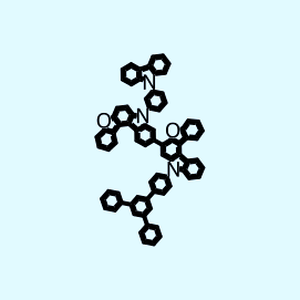 c1ccc(-c2cc(-c3ccccc3)cc(-c3ccc(-n4c5ccccc5c5c6c(oc7ccccc76)c(-c6ccc7c8c9c(ccc8n(-c8cccc(-n%10c%11ccccc%11c%11ccccc%11%10)c8)c7c6)oc6ccccc69)cc54)cc3)c2)cc1